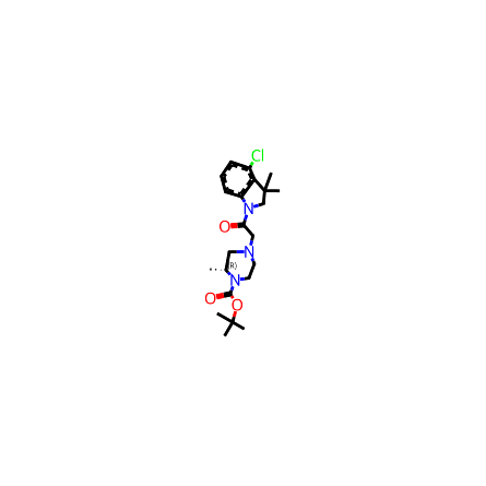 C[C@@H]1CN(CC(=O)N2CC(C)(C)c3c(Cl)cccc32)CCN1C(=O)OC(C)(C)C